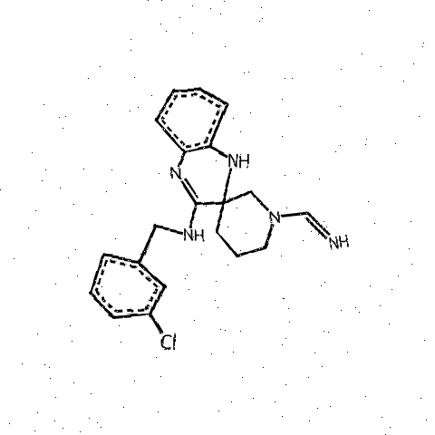 N=CN1CCCC2(C1)Nc1ccccc1N=C2NCc1cccc(Cl)c1